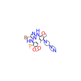 Cc1cc(Nc2ncc(Br)c(Nc3ccc4c(c3P(C)C)OCCO4)n2)c2c(c1N1CCC(N3CCN(C)CC3)CC1)CCO2